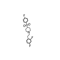 O=S(=O)(c1ccc(F)cc1)C1CCN(CCc2ccc(F)cc2F)CC1